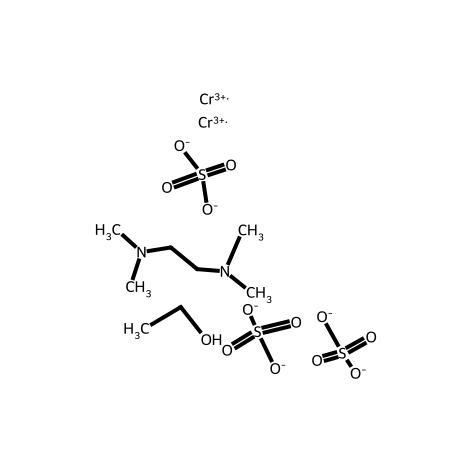 CCO.CN(C)CCN(C)C.O=S(=O)([O-])[O-].O=S(=O)([O-])[O-].O=S(=O)([O-])[O-].[Cr+3].[Cr+3]